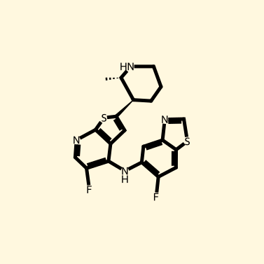 C[C@@H]1NCCC[C@H]1c1cc2c(Nc3cc4ncsc4cc3F)c(F)cnc2s1